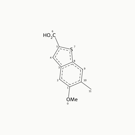 COc1cc2cc(C(=O)O)sc2cc1C